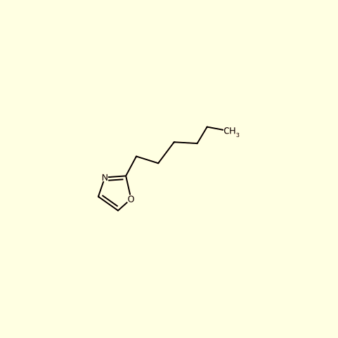 CCCCCCc1ncco1